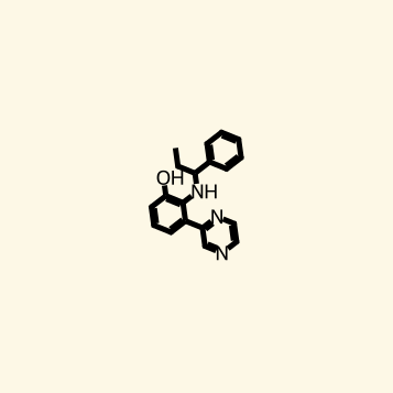 CCC(Nc1c(O)cccc1-c1cnccn1)c1ccccc1